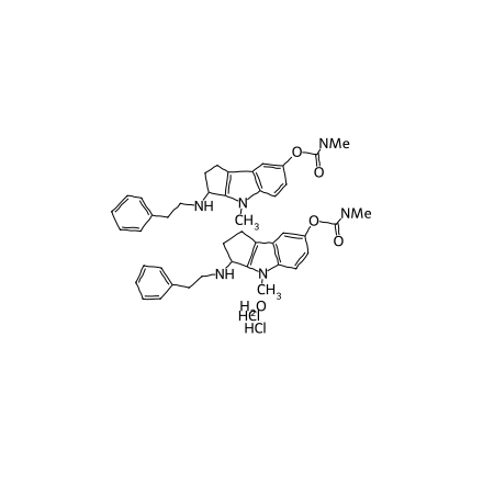 CNC(=O)Oc1ccc2c(c1)c1c(n2C)C(NCCc2ccccc2)CC1.CNC(=O)Oc1ccc2c(c1)c1c(n2C)C(NCCc2ccccc2)CC1.Cl.Cl.O